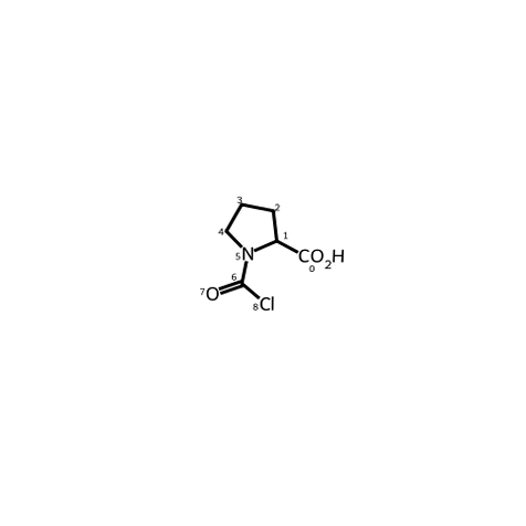 O=C(O)C1CCCN1C(=O)Cl